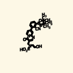 CC1(C)OB(c2cccc(-c3ccn4c(=O)c(CN(CCO)C(=O)O)cnc4c3)c2C#N)OC1(C)C